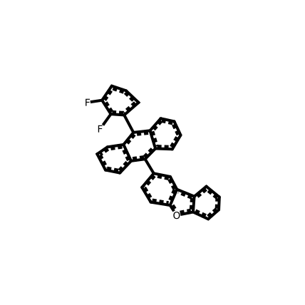 Fc1cccc(-c2c3ccccc3c(-c3ccc4oc5ccccc5c4c3)c3ccccc23)c1F